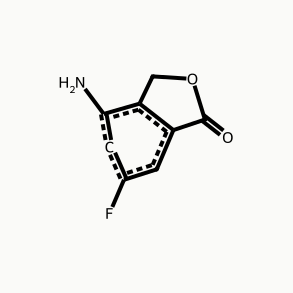 Nc1cc(F)cc2c1COC2=O